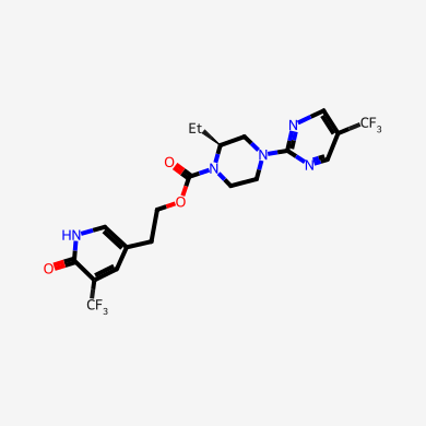 CC[C@H]1CN(c2ncc(C(F)(F)F)cn2)CCN1C(=O)OCCc1c[nH]c(=O)c(C(F)(F)F)c1